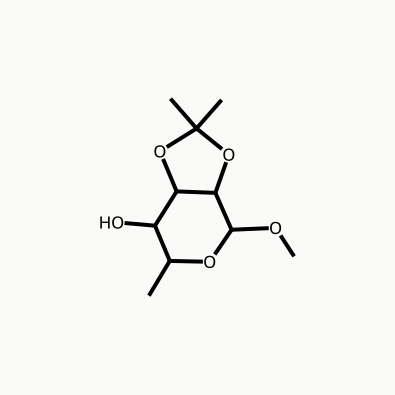 COC1OC(C)C(O)C2OC(C)(C)OC12